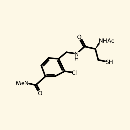 CNC(=O)c1ccc(CNC(=O)[C@H](CS)NC(C)=O)c(Cl)c1